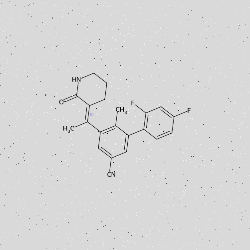 C/C(=C1/CCCNC1=O)c1cc(C#N)cc(-c2ccc(F)cc2F)c1C